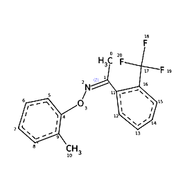 C/C(=N/Oc1ccc[c]c1C)c1ccccc1C(F)(F)F